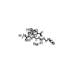 C=C(C)C(=O)O.N=C(N)NCCCCNCCN=C=O.O=S(=O)([O-])O.[Na+]